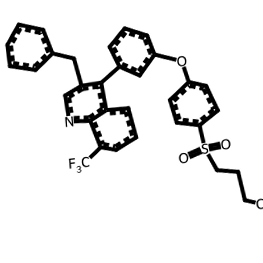 O=S(=O)(CCCO)c1ccc(Oc2cccc(-c3c(Cc4ccccc4)cnc4c(C(F)(F)F)cccc34)c2)cc1